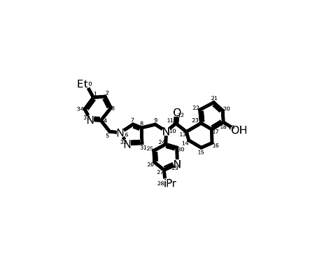 CCc1ccc(Cn2cc(CN(C(=O)C3CCCc4c(O)cccc43)c3ccc(C(C)C)nc3)cn2)nc1